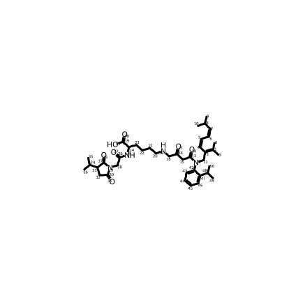 CC(C)=C(/C=C\C=C/C(C)C)CN(C(=O)CC(=O)CNCCCCC(NC(=O)CN1C(=O)CC(C(C)C)C1=O)C(=O)O)c1ccccc1C(C)C